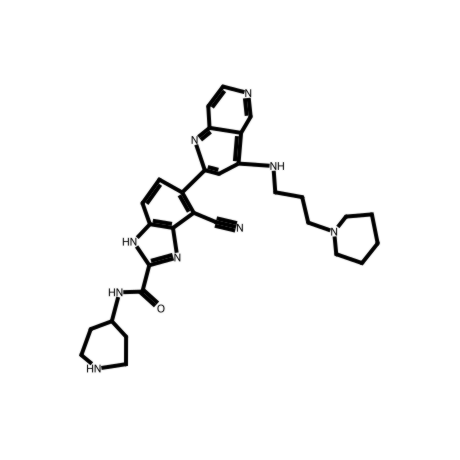 N#Cc1c(-c2cc(NCCCN3CCCCC3)c3cnccc3n2)ccc2[nH]c(C(=O)NC3CCNCC3)nc12